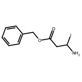 NC(I)CC(=O)OCc1ccccc1